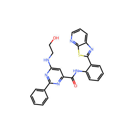 O=C(Nc1ccccc1-c1nc2cccnc2s1)c1cc(NCCO)nc(-c2ccccc2)n1